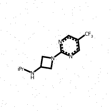 CC(C)NC1CN(c2ncc(C(F)(F)F)cn2)C1